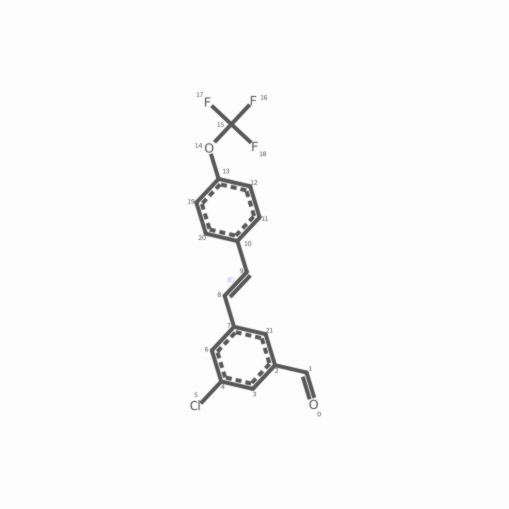 O=Cc1cc(Cl)cc(/C=C/c2ccc(OC(F)(F)F)cc2)c1